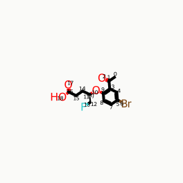 CC(=O)c1cc(Br)ccc1O[C@@H](CF)CCC(=O)O